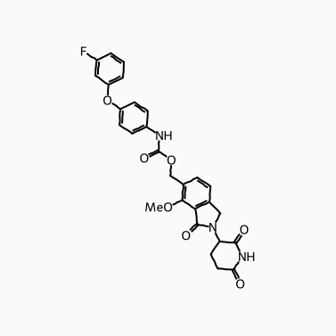 COc1c(COC(=O)Nc2ccc(Oc3cccc(F)c3)cc2)ccc2c1C(=O)N(C1CCC(=O)NC1=O)C2